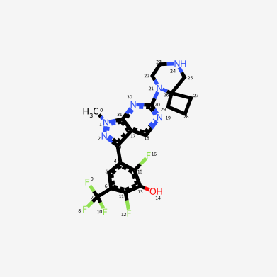 Cn1nc(-c2cc(C(F)(F)F)c(F)c(O)c2F)c2cnc(N3CCNCC34CCC4)nc21